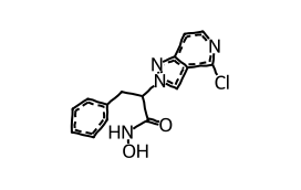 O=C(NO)C(Cc1ccccc1)n1cc2c(Cl)nccc2n1